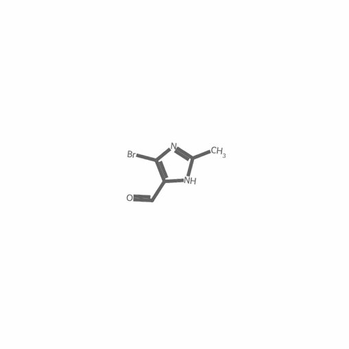 Cc1nc(Br)c(C=O)[nH]1